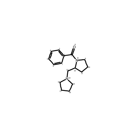 O=C(c1cc[c]cc1)N1CCCC1CN1CCCC1